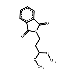 COC(CCN1C(=O)c2ccccc2C1=O)OC